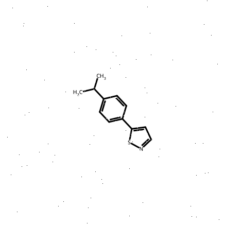 CC(C)c1ccc(-c2ccns2)cc1